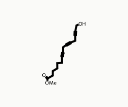 COC(=O)CCCCCC#CCC#CCC#CCO